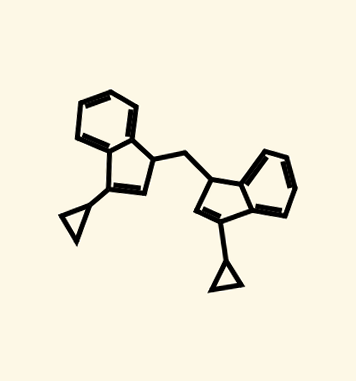 C1=C(C2CC2)c2ccccc2C1CC1C=C(C2CC2)c2ccccc21